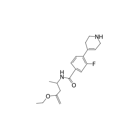 C=C(CC(C)NC(=O)c1ccc(C2=CCNCC2)c(F)c1)OCC